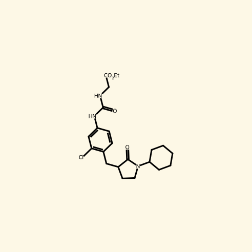 CCOC(=O)CNC(=O)Nc1ccc(CC2CCN(C3CCCCC3)C2=O)c(Cl)c1